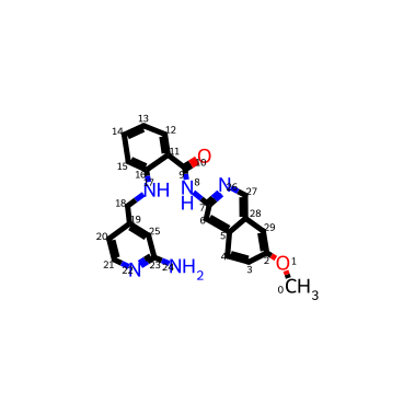 COc1ccc2cc(NC(=O)c3ccccc3NCc3ccnc(N)c3)ncc2c1